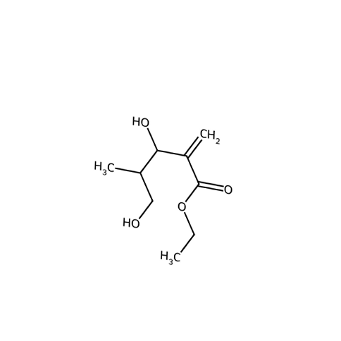 C=C(C(=O)OCC)C(O)C(C)CO